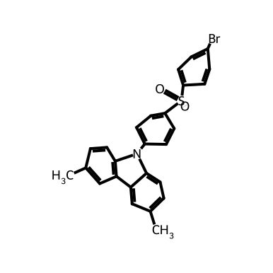 Cc1ccc2c(c1)c1cc(C)ccc1n2-c1ccc(S(=O)(=O)c2ccc(Br)cc2)cc1